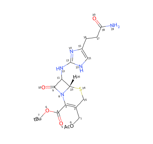 CC(=O)OCC1=C(C(=O)OC(C)(C)C)N2C(=O)C(Nc3nc(CCC(N)=O)c[nH]3)[C@@H]2SC1